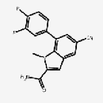 Cn1c(C(N)=O)cc2cc(C#N)cc(-c3ccc(F)c(F)c3)c21